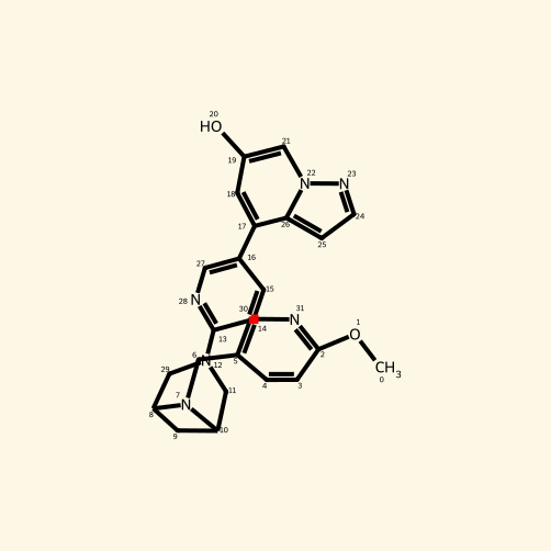 COc1ccc(CN2C3CC2CN(c2ccc(-c4cc(O)cn5nccc45)cn2)C3)cn1